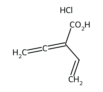 C=C=C(C=C)C(=O)O.Cl